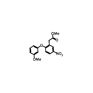 COC(=O)Cc1cc([N+](=O)[O-])ccc1Oc1cccc(OC)c1